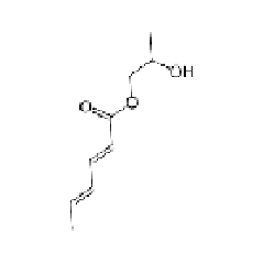 C/C=C/C=C/C(=O)OCC(C)O